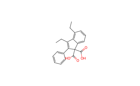 CCC1=C(c2ccccc2)C(C(=O)O)(C(=O)O)c2cccc(CC)c21